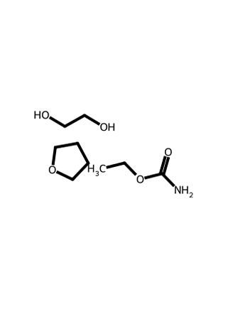 C1CCOC1.CCOC(N)=O.OCCO